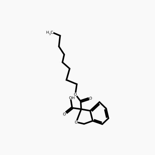 CCCCCCCCOC(=O)C1(C(=O)O)OCc2ccccc21